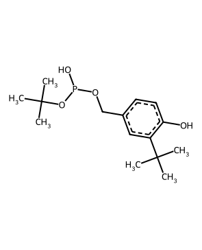 CC(C)(C)OP(O)OCc1ccc(O)c(C(C)(C)C)c1